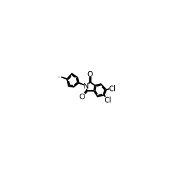 [CH2]c1ccc(N2C(=O)c3cc(Cl)c(Cl)cc3C2=O)cc1